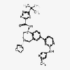 Cn1cc(Nc2nccc(-c3ccc4c(c3)CN([C@@H]3CCOC3)CC[C@H]4NC(=O)c3nnc(C(C)(C)C)s3)n2)cn1